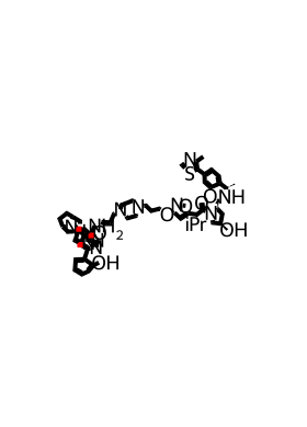 Cc1ncsc1-c1ccc([C@H](C)NC(=O)[C@@H]2C[C@@H](O)CN2C(=O)[C@@H](c2cc(OCCCN3CCN(CCCOc4cc(N5C6CCC5CN(c5cc(-c7ccccc7O)nnc5N)C6)ccn4)CC3)no2)C(C)C)cc1